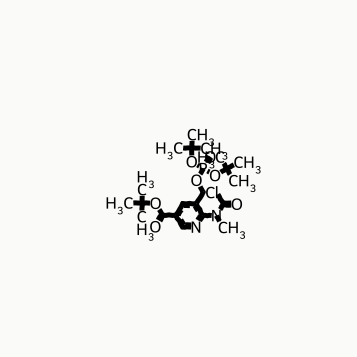 CN(C(=O)Cl)c1ncc(C(=O)OC(C)(C)C)cc1COP(=O)(OC(C)(C)C)OC(C)(C)C